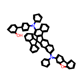 Oc1ccccc1-c1ccc(N(c2ccccc2)c2cc3c(c4ccccc24)-c2cc4ccc(N(c5ccccc5)c5ccc6c(c5)oc5ccccc56)cc4cc2C32c3ccccc3-c3ccccc32)cc1